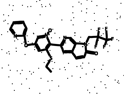 CCSc1cc(Oc2ccccn2)c[n+]([O-])c1-c1cc2ccc(=O)n(CC(F)(F)C(F)(F)F)c2cn1